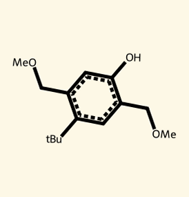 COCc1cc(C(C)(C)C)c(COC)cc1O